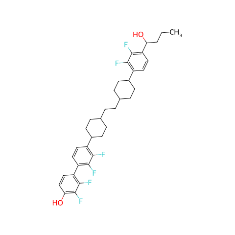 CCCC(O)c1ccc(C2CCC(CCC3CCC(c4ccc(-c5ccc(O)c(F)c5F)c(F)c4F)CC3)CC2)c(F)c1F